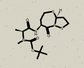 C[C@@H](C(=O)N[C@H]1CCS[C@H]2CCSN2C1=O)N(C)C(=O)OC(C)(C)C